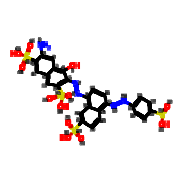 Nc1cc2c(O)c(/N=N/c3ccc(/N=N/c4ccc(S(=O)O)cc4)c4ccc(S(=O)(=O)O)cc34)c(S(=O)(=O)O)cc2cc1S(=O)(=O)O